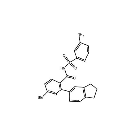 CC(C)(C)c1ccc(C(=O)NS(=O)(=O)c2cccc(N)c2)c(-c2ccc3c(c2)CCC3)n1